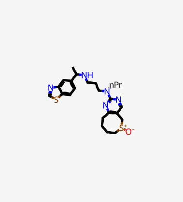 CCCN(CCCNC(C)c1ccc2scnc2c1)c1ncc2c(n1)CCCC[S+]([O-])C2